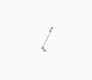 CCCCCCCc1cc(CCCCCCCCCCCCCCCCCCCCc2ccc(Cc3ccc(N)cc3)c(CCCCCCC)c2)ccc1Cc1ccc(N)cc1